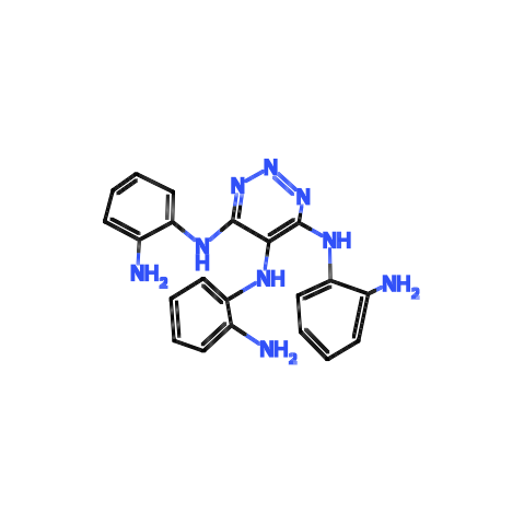 Nc1ccccc1Nc1nnnc(Nc2ccccc2N)c1Nc1ccccc1N